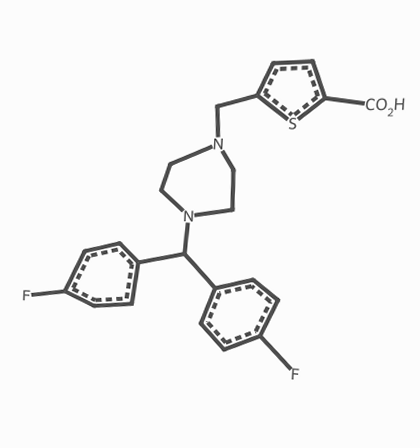 O=C(O)c1ccc(CN2CCN(C(c3ccc(F)cc3)c3ccc(F)cc3)CC2)s1